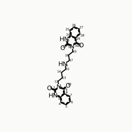 O=c1[nH]c2ccccc2c(=O)n1CCCCNCCCn1c(=O)[nH]c2ccccc2c1=O